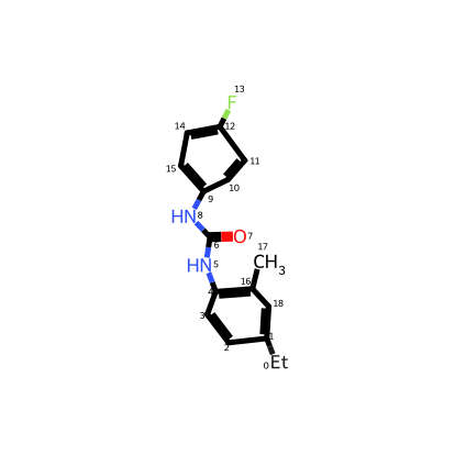 CCc1ccc(NC(=O)Nc2ccc(F)cc2)c(C)c1